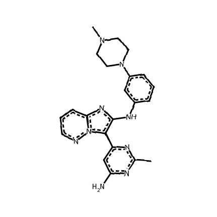 Cc1nc(N)cc(-c2c(Nc3cccc(N4CCN(C)CC4)c3)nc3cccnn23)n1